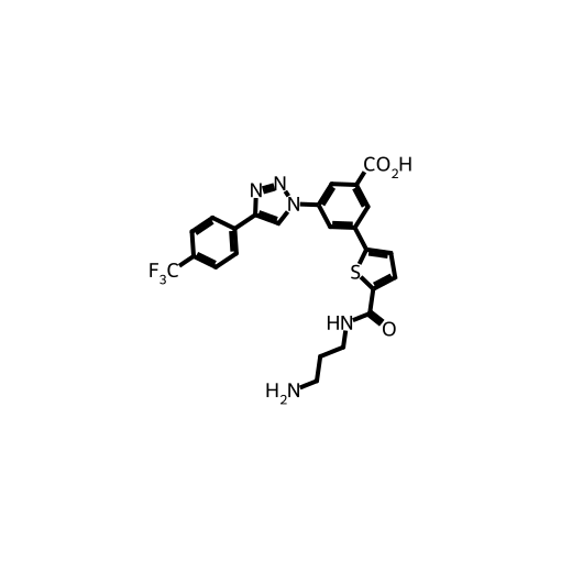 NCCCNC(=O)c1ccc(-c2cc(C(=O)O)cc(-n3cc(-c4ccc(C(F)(F)F)cc4)nn3)c2)s1